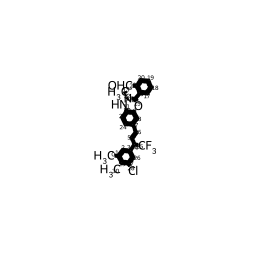 Cc1cc(C(/C=C/c2ccc(NN(C)C(=O)c3ccccc3C=O)cc2)C(F)(F)F)cc(Cl)c1C